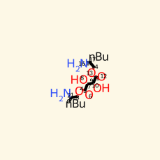 CCCCC(N)COC(=O)C(O)C(O)C(=O)OCC(N)CCCC